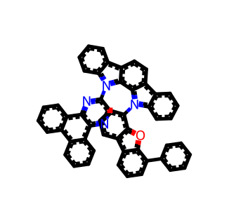 c1ccc(-c2cccc3c2oc2c(-n4c5ccccc5c5ccc6c7ccccc7n(-c7cnc8c9ccccc9c9ccccc9c8n7)c6c54)cccc23)cc1